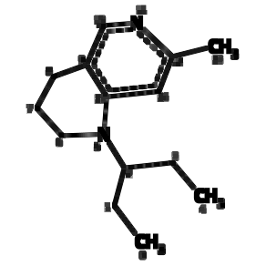 CCC(CC)N1CCCc2[c]nc(C)cc21